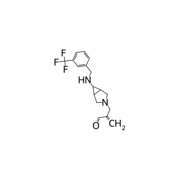 C=C(C=O)CN1CC2C(C1)C2NCc1cccc(C(F)(F)F)c1